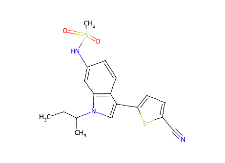 CCC(C)n1cc(-c2ccc(C#N)s2)c2ccc(NS(C)(=O)=O)cc21